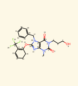 Cn1c(=O)n(CCCO)c(=O)c2c1nc(OC1=C(C(F)(F)F)C=CCC1)n2Cc1ccccc1